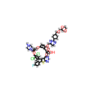 Cc1c(Cl)c2c(Cl)c(C)c1-c1c(-c3ccc(F)cc3)sc3ncnc(c13)O[C@@H](C(=O)O)Cc1cc(ccc1OCc1ccnc(C3CCC(COC[C@@H]4COCCO4)CC3)n1)OC[C@@H](CN1CCN(C)CC1)O2